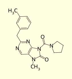 Cc1cccc(Cc2ncc3c(n2)n(C(=O)N2CCCC2)c(=O)n3C)c1